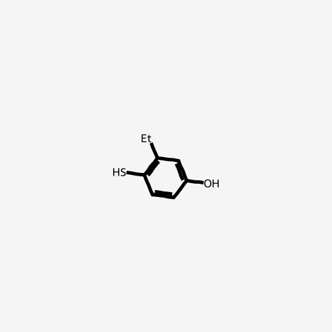 CCc1cc(O)ccc1S